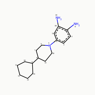 Nc1ccc(N2CCC(C3CCCCC3)CC2)cc1N